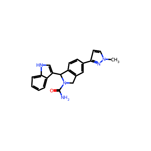 Cn1ccc(-c2ccc3c(c2)CN(C(N)=O)C3c2c[nH]c3ccccc23)n1